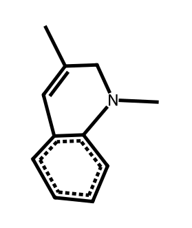 CC1=Cc2ccccc2N(C)C1